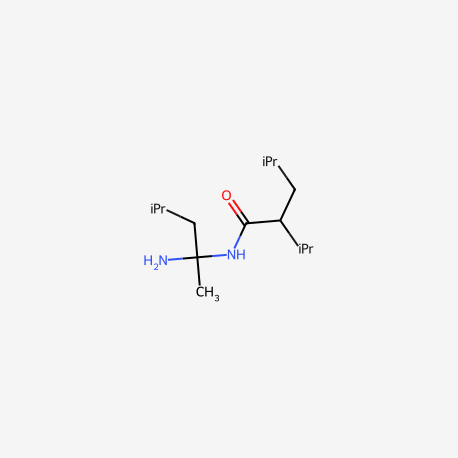 CC(C)CC(C(=O)NC(C)(N)CC(C)C)C(C)C